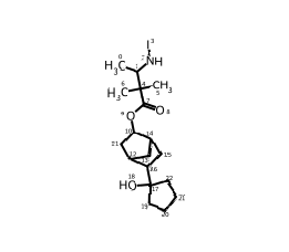 CC(NI)C(C)(C)C(=O)OC1CC2CC1CC2C1(O)CCCC1